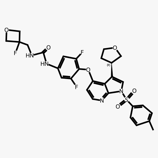 Cc1ccc(S(=O)(=O)n2cc([C@H]3CCOC3)c3c(Oc4c(F)cc(NC(=O)NCC5(F)COC5)cc4F)ccnc32)cc1